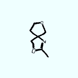 CC1=NC2(CCOC2)CO1